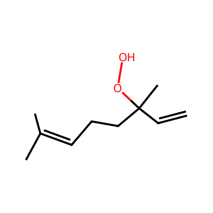 C=CC(C)(CCC=C(C)C)OO